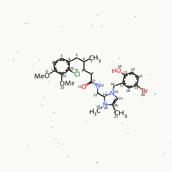 COc1ccc(CC(C)CCC(=O)[N]CC2N(Cc3cc(Br)ccc3O)C=C(C)N2C)c(Cl)c1OC